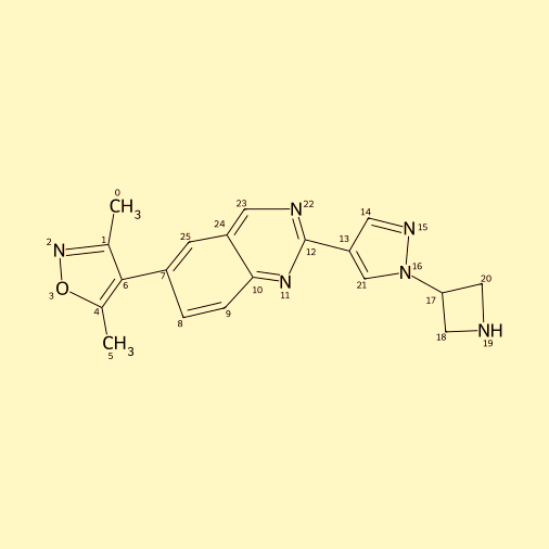 Cc1noc(C)c1-c1ccc2nc(-c3cnn(C4CNC4)c3)ncc2c1